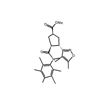 COC(=O)[C@@H]1C[C@H](C(=O)N(C)c2c(C)c(C)c(C)c(C)c2C)[C@@H](c2noc(C)c2C)C1